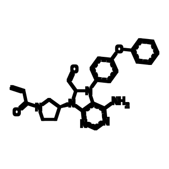 C=CC(=O)N1CC[C@H](N2c3ncnc(N)c3N(c3ccc(Oc4ccccc4)cc3)C2C=O)C1